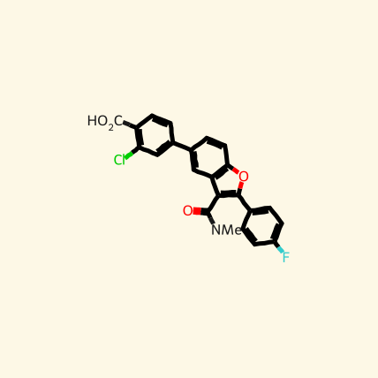 CNC(=O)c1c(-c2ccc(F)cc2)oc2ccc(-c3ccc(C(=O)O)c(Cl)c3)cc12